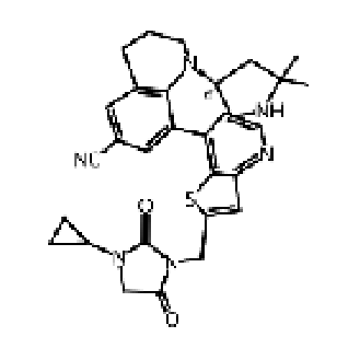 CC1(C)C[C@H](N2CCCc3cc(C#N)cc(-c4ccnc5cc(CN6C(=O)CN(C7CC7)C6=O)sc45)c32)CN1